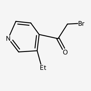 CCc1cnccc1C(=O)CBr